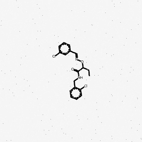 CCC(ON=Cc1cccc(Cl)c1)C(=O)NCc1ccccc1Cl